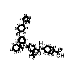 CC(F)(F)c1nc(N2CC3(CCCCC3)c3cc(O[C@H]4CC[C@H](n5ccnn5)CC4)ccc32)ncc1C(=O)NC1CC2CC(C1)CC(C(=O)O)C2